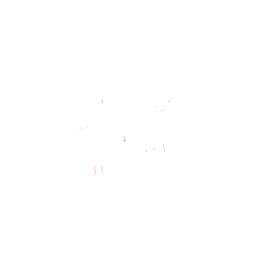 O[Si](O)(O)O.[Ca+2].[Si+4]